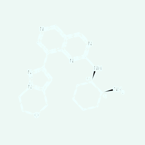 N[C@H]1CCCC[C@H]1Nc1ncc2cncc(-c3cc4n(n3)CCOC4)c2n1